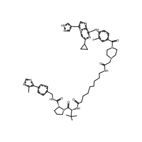 Cc1ncsc1-c1ccc(CNC(=O)[C@@H]2CCCN2C(=O)[C@@H](NC(=O)CCCCCCCCNC(=O)CN2CCN(C(=O)c3ccc(Nc4nc(C5CC5)cn5c(-c6cn[nH]c6)cnc45)c(F)c3)CC2)C(C)(C)C)cc1